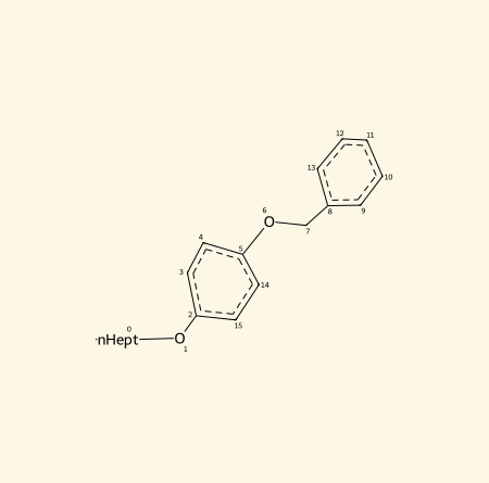 CCCCCC[CH]Oc1ccc(OCc2ccccc2)cc1